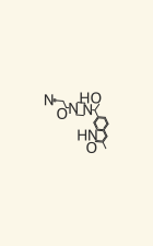 Cc1cc2ccc(C(CO)N3CCN(C(=O)CC#N)CC3)cc2[nH]c1=O